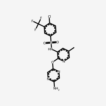 Cc1cnc(Oc2cnc(N)cn2)c(NS(=O)(=O)c2ccc(Cl)c(C(F)(F)F)c2)c1